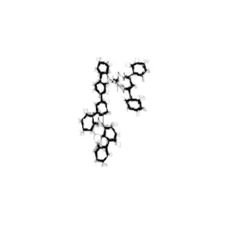 c1ccc(-c2cc(-c3ccccc3)nc(-n3c4ccccc4c4ccc(-c5ccc6c(c5)c5ccccc5n6-c5cccc6c5oc5ccccc56)cc43)n2)cc1